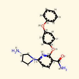 NC(=O)c1ccc(N2CC[C@H](N)C2)nc1Oc1ccc(Oc2ccccc2)cc1